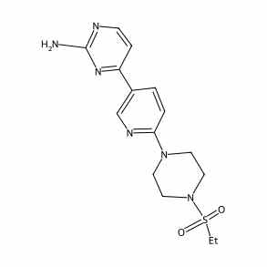 CCS(=O)(=O)N1CCN(c2ccc(-c3ccnc(N)n3)cn2)CC1